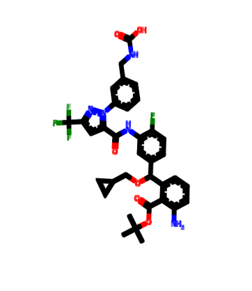 CC(C)(C)OC(=O)c1c(N)cccc1C(OCC1CC1)c1ccc(F)c(NC(=O)c2cc(C(F)(F)F)nn2-c2cccc(CNC(=O)O)c2)c1